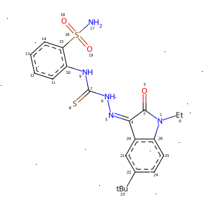 CCN1C(=O)C(=NNC(=S)Nc2ccccc2S(N)(=O)=O)c2cc(C(C)(C)C)ccc21